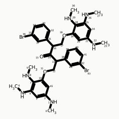 CNc1cc(NC)c(NC)c(OCC(C(=O)C(COc2cc(NC)cc(NC)c2NC)c2cccc(Br)c2)c2cccc(Br)c2)c1